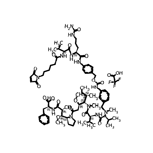 CC[C@H](C)[C@@H]([C@@H](CC(=O)N1CCC[C@H]1[C@H](OC)[C@@H](C)C(=O)N[C@@H](Cc1ccccc1)C(=O)O)OC)N(C)C(=O)[C@@H](NC(=O)[C@H](C(C)C)N(C)Cc1cccc(NC(=O)OCc2ccc(NC(=O)[C@H](CCCNC(N)=O)NC(=O)[C@@H](NC(=O)CCCCCN3C(=O)C=CC3=O)C(C)C)cc2)c1)C(C)C.O=C(O)C(F)(F)F